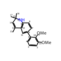 COc1cccc(-c2ccc3c(c2)C(C)=CC(C)(C)N3)c1OC